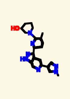 Cc1ccc(-c2n[nH]c3cnc(-c4cnn(C)c4)cc23)nc1N1CCC[C@@H](O)C1